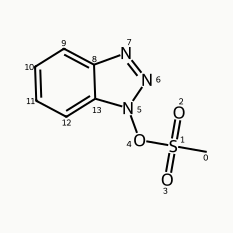 CS(=O)(=O)On1nnc2ccccc21